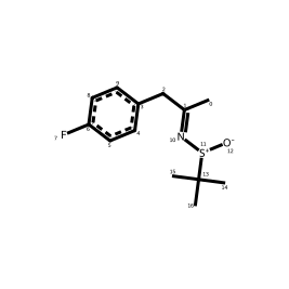 CC(Cc1ccc(F)cc1)=N[S+]([O-])C(C)(C)C